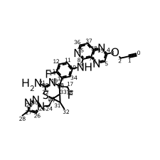 C#CCOc1cnc2c(Nc3ccc(F)c([C@@]4(CF)N=C(N)S[C@@]5(Cn6cc(C)nn6)C(C)C54)c3)nccc2n1